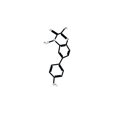 Cc1ccc(-c2ccc3nc(C(C)C)c(=O)n(C)c3c2)cc1